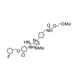 CNc1sc(-c2ccc(CNC(=O)COCCOC)cc2)nc1C(=N)Nc1ccc(OCc2cccc(F)c2)c(Cl)c1